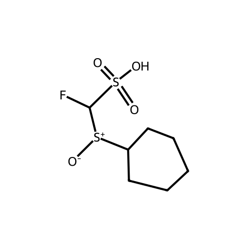 O=S(=O)(O)C(F)[S+]([O-])C1CCCCC1